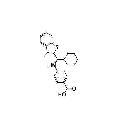 Cc1c(C(Nc2ccc(C(=O)O)cc2)C2CCCCC2)sc2ccccc12